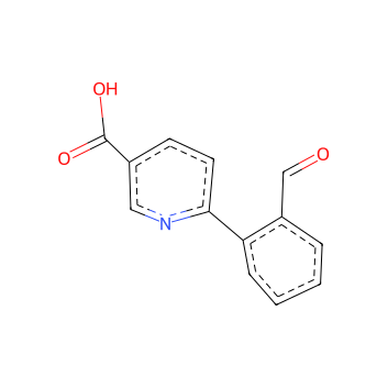 O=Cc1ccccc1-c1ccc(C(=O)O)cn1